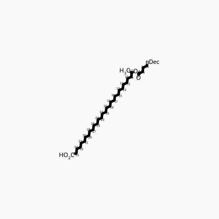 CCCCCCCCCCCCCC(=O)OC(C)CCCCCCCCCCCCCCCCCCCCCCCCCCCC(=O)O